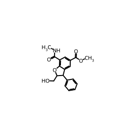 CNC(=O)c1cc(C(=O)OC)cc2c1OC(CO)C2c1ccccc1